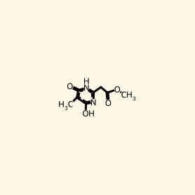 COC(=O)Cc1nc(O)c(C)c(=O)[nH]1